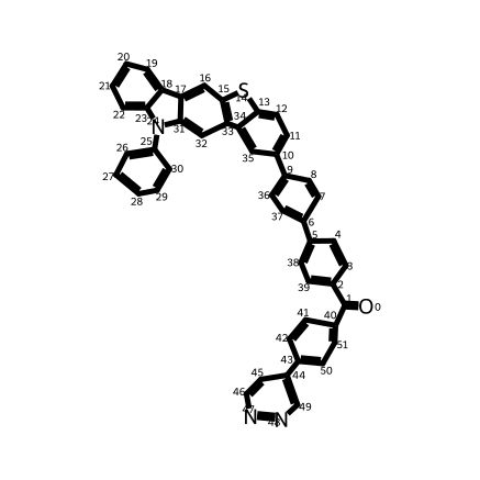 O=C(c1ccc(-c2ccc(-c3ccc4sc5cc6c7ccccc7n(-c7ccccc7)c6cc5c4c3)cc2)cc1)c1ccc(-c2ccnnc2)cc1